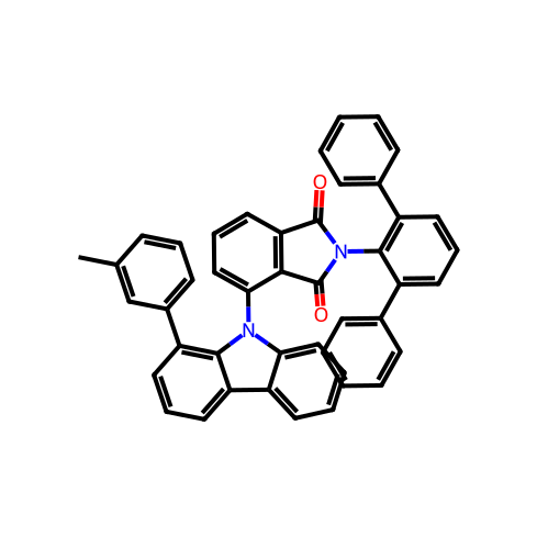 Cc1cccc(-c2cccc3c4ccccc4n(-c4cccc5c4C(=O)N(c4c(-c6ccccc6)cccc4-c4ccccc4)C5=O)c23)c1